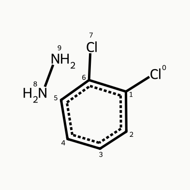 Clc1ccccc1Cl.NN